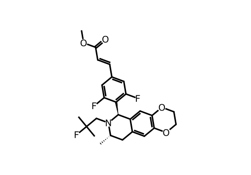 COC(=O)/C=C/c1cc(F)c([C@H]2c3cc4c(cc3C[C@H](C)N2CC(C)(C)F)OCCO4)c(F)c1